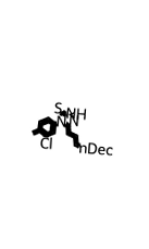 CCCCCCCCCCCCCc1n[nH]c(=S)n1-c1ccc(C)c(Cl)c1